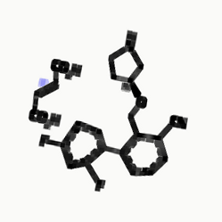 N#Cc1cccc(-c2ccc(F)cc2F)c1CO[C@H]1CCNC1.O=C(O)/C=C/C(=O)O